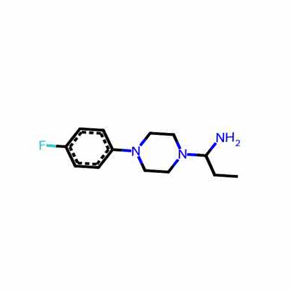 CCC(N)N1CCN(c2ccc(F)cc2)CC1